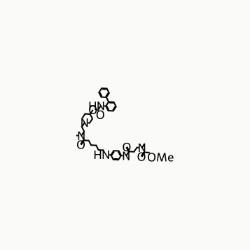 COCC(=O)N(C)CCC(=O)N(C)c1ccc(NCCCCCC(=O)N(C)CCN2CCC(OC(=O)Nc3ccccc3-c3ccccc3)CC2)cc1